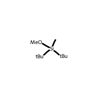 [CH2]O[Si](C)(C(C)(C)C)C(C)(C)C